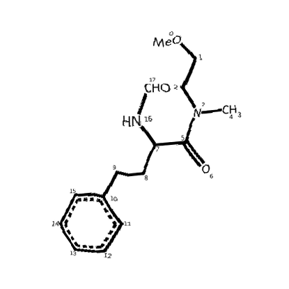 COCCN(C)C(=O)C(CCc1ccccc1)NC=O